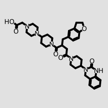 O=C(O)CN1CCN(C2CCN(C(=O)C(CC(=O)N3CCC(N4Cc5ccccc5NC4=O)CC3)Cc3ccc4c(c3)CCO4)CC2)CC1